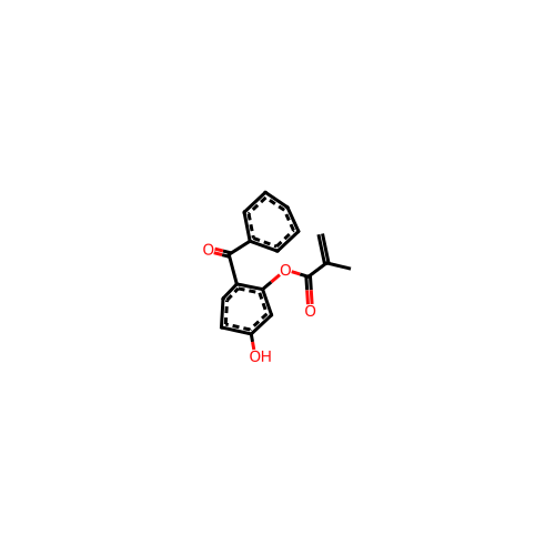 C=C(C)C(=O)Oc1cc(O)ccc1C(=O)c1ccccc1